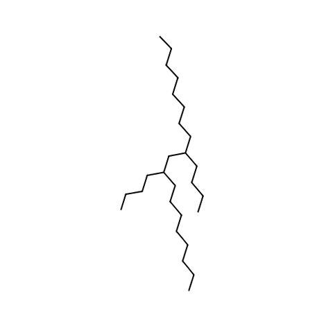 CCCCCCCCC(CCCC)CC(CCCC)CCCCCCCC